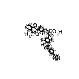 Cn1c(=O)n(-c2ccc(C[C@H](NC(=O)c3cc(F)c(NS(=O)(=O)c4ccc(-n5cncn5)cc4)cc3F)C(=O)O)nc2)c(=O)c2ccncc21